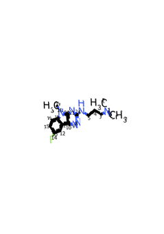 CN(C)CCCNc1nnc2c3cc(F)ccc3n(C)c2n1